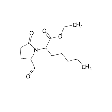 CCCCCC(C(=O)OCC)N1C(=O)CCC1C=O